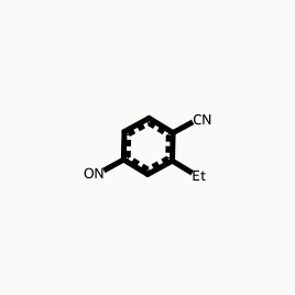 CCc1cc(N=O)ccc1C#N